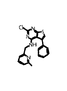 Cc1cccc(CNc2nc(Cl)nc3scc(-c4ccccc4)c23)n1